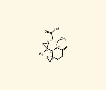 CO[C@@H]1C(=O)CC[C@]2(CO2)[C@H]1[C@]1(C)O[C@@H]1CC(=O)O